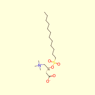 CCCCCCCCCCCCS(=O)(=O)O[C@H](CC(=O)[O-])C[N+](C)(C)C